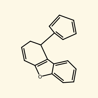 C1=Cc2oc3ccccc3c2[C](c2ccccc2)C1